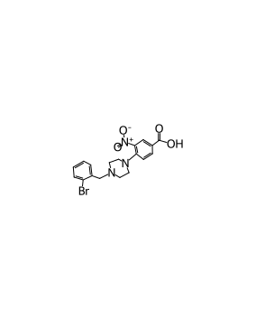 O=C(O)c1ccc(N2CCN(Cc3ccccc3Br)CC2)c([N+](=O)[O-])c1